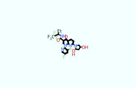 CCC(NC(=O)c1cn(-c2ncc(F)cc2F)c2nc(N3C[C@@H](O)CC3O)ccc2c1=O)C(F)(F)C(F)(F)F